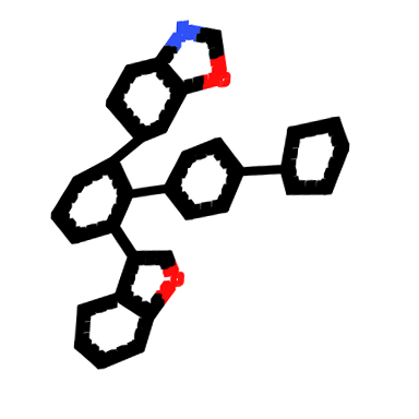 c1ccc(-c2ccc(-c3c(-c4ccc5ncoc5c4)cccc3-c3coc4ccccc34)cc2)cc1